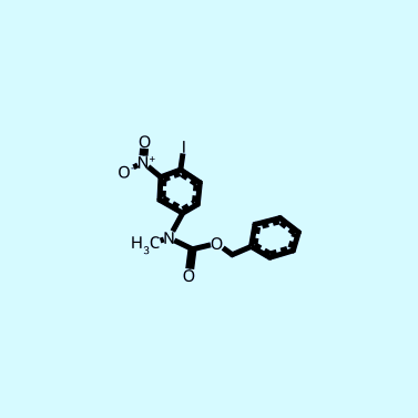 CN(C(=O)OCc1ccccc1)c1ccc(I)c([N+](=O)[O-])c1